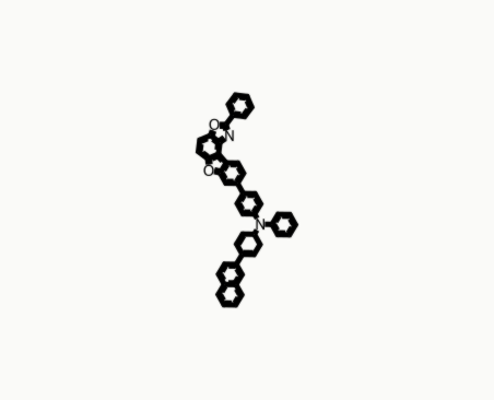 C1=CC(N(c2ccccc2)c2ccc(-c3ccc4c(c3)oc3ccc5oc(-c6ccccc6)nc5c34)cc2)CC=C1c1ccc2ccccc2c1